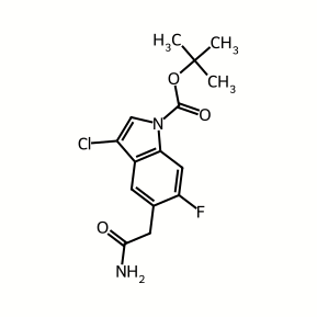 CC(C)(C)OC(=O)n1cc(Cl)c2cc(CC(N)=O)c(F)cc21